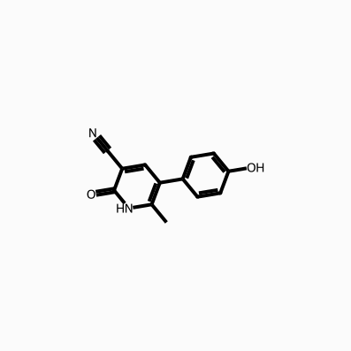 Cc1[nH]c(=O)c(C#N)cc1-c1ccc(O)cc1